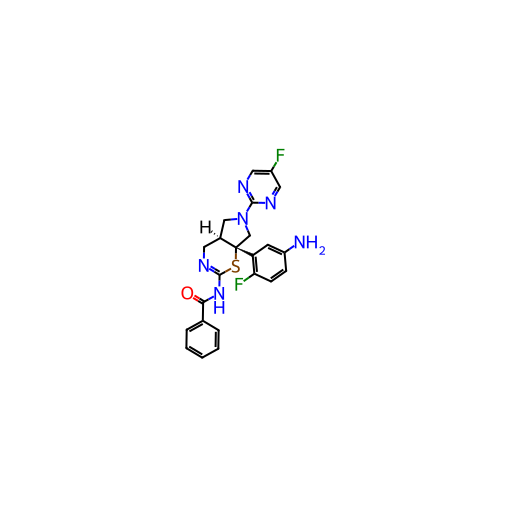 Nc1ccc(F)c([C@]23CN(c4ncc(F)cn4)C[C@@H]2CN=C(NC(=O)c2ccccc2)S3)c1